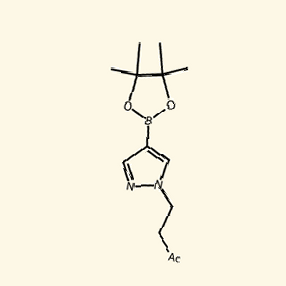 CC(=O)CCn1cc(B2OC(C)(C)C(C)(C)O2)cn1